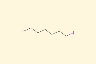 [CH2]CCCCCCI